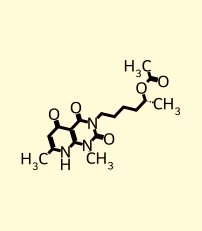 CC(=O)O[C@H](C)CCCCn1c(=O)c2c(=O)cc(C)[nH]c2n(C)c1=O